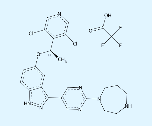 C[C@@H](Oc1ccc2[nH]nc(-c3cnc(N4CCCNCC4)nc3)c2c1)c1c(Cl)cncc1Cl.O=C(O)C(F)(F)F